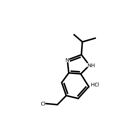 CC(C)c1nc2cc(CCl)ccc2[nH]1.Cl